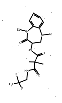 CCN1C(=O)C(NC(=O)C(C)(C)C(=O)NCC(F)(F)C(F)(F)F)CN(C(C)=O)c2ccccc21